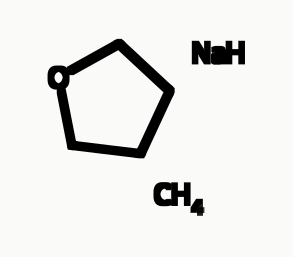 C.C1CCOC1.[NaH]